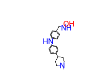 CN1CCC(c2ccc(Nc3ccc(CNO)cc3)cc2)CC1